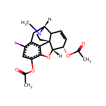 CC(=O)Oc1cc(I)c2c3c1O[C@H]1[C@@H](OC(C)=O)C=CC4[C@@H](C2)N(C)CC[C@@]341